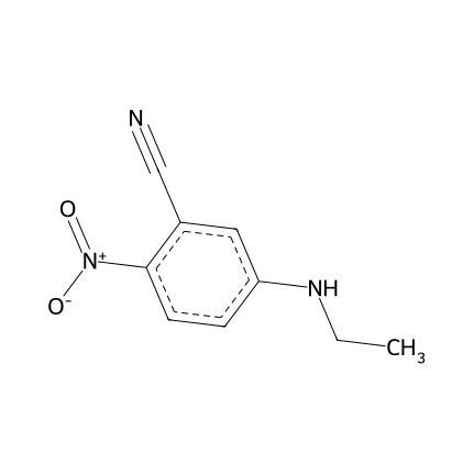 CCNc1ccc([N+](=O)[O-])c(C#N)c1